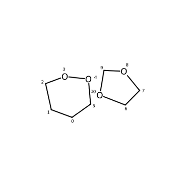 C1CCOOC1.C1COCO1